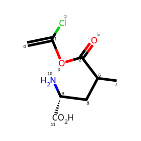 C=C(Cl)OC(=O)C(C)C[C@@H](N)C(=O)O